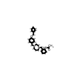 CC(=O)Nc1ccccc1CN1CCCN(Cc2ccc(OCc3ccccc3)cc2)CC1